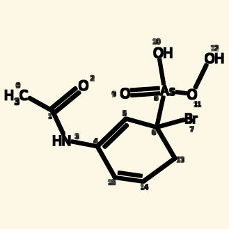 CC(=O)NC1=CC(Br)([As](=O)(O)OO)CC=C1